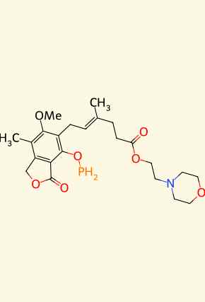 COc1c(C)c2c(c(OP)c1C/C=C(\C)CCC(=O)OCCN1CCOCC1)C(=O)OC2